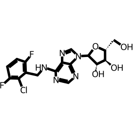 OC[C@H]1OC(n2cnc3c(NCc4c(F)ccc(F)c4Cl)ncnc32)[C@@H](O)[C@@H]1O